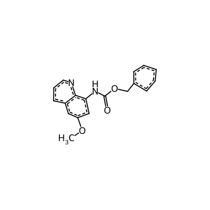 COc1cc(NC(=O)OCc2ccccc2)c2ncccc2c1